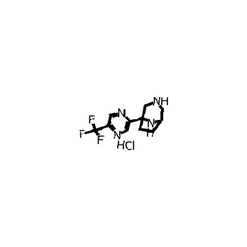 Cl.FC(F)(F)c1cnc(C23CCC(CNC2)N3)cn1